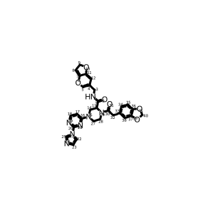 O=C(NCC1=COC2=CCOC2=C1)C1CN(c2ccnc(-n3ccnc3)n2)CCN1C(=O)Cc1ccc2c(c1)OCO2